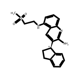 CS(=O)(=O)CCNc1cccc2nc(N)c([C@@H]3CCc4ccccc43)cc12